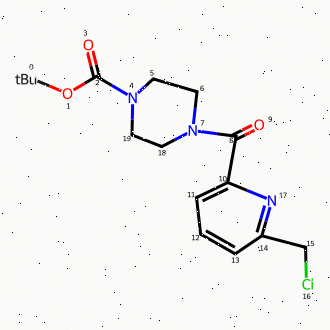 CC(C)(C)OC(=O)N1CCN(C(=O)c2cccc(CCl)n2)CC1